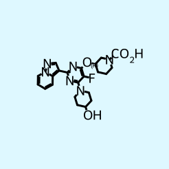 O=C(O)N1CCC[C@@H](Oc2nc(-c3cnn4ccccc34)nc(N3CCC(O)CC3)c2F)C1